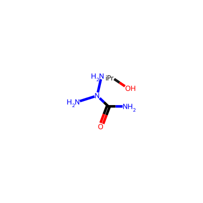 CC(C)O.NC(=O)N(N)N